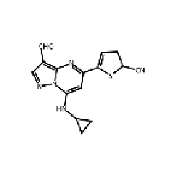 N#CC1CC=C(c2cc(NC3CC3)n3ncc(C=O)c3n2)S1